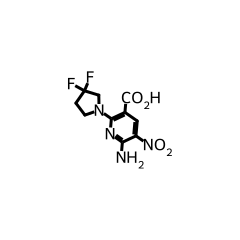 Nc1nc(N2CCC(F)(F)C2)c(C(=O)O)cc1[N+](=O)[O-]